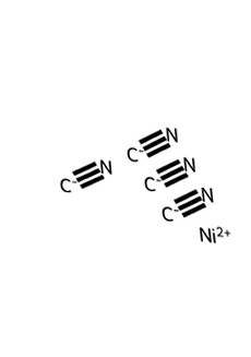 [C-]#N.[C-]#N.[C-]#N.[C-]#N.[Ni+2]